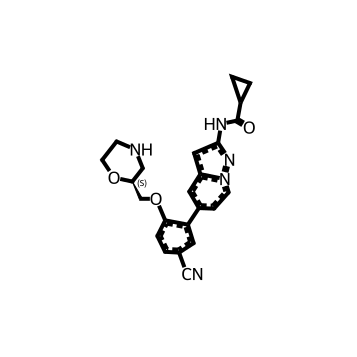 N#Cc1ccc(OC[C@@H]2CNCCO2)c(-c2ccn3nc(NC(=O)C4CC4)cc3c2)c1